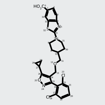 O=C(O)c1ccc2nc(N3CCC(COCc4c(-c5c(Cl)cccc5Cl)noc4C4CC4)CC3)sc2c1